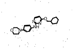 c1cc(OCC2CCCCC2)nc(Nc2ccc(N3CCOCC3)cc2)n1